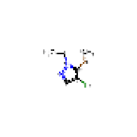 CCn1ncc(F)c1SC